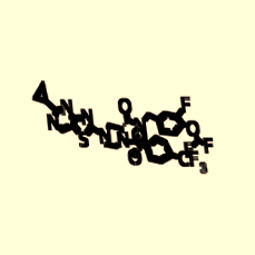 O=C(NCc1ccc(OC(F)F)c(F)c1)[C@H]1CN(c2nc3nc(C4CC4)ncc3s2)CCN1S(=O)(=O)c1ccc(C(F)(F)F)cc1